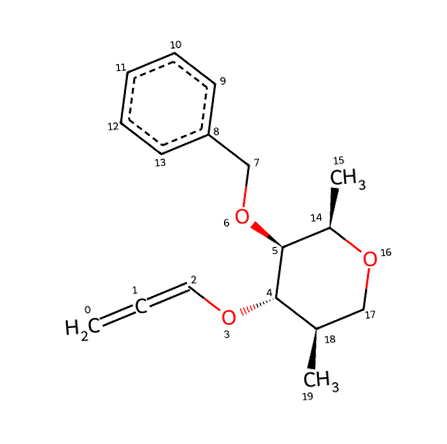 C=C=CO[C@@H]1[C@@H](OCc2ccccc2)[C@@H](C)OC[C@H]1C